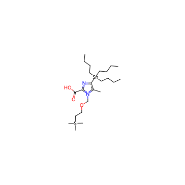 CCC[CH2][Sn]([CH2]CCC)([CH2]CCC)[c]1nc(C(=O)O)n(COCC[Si](C)(C)C)c1C